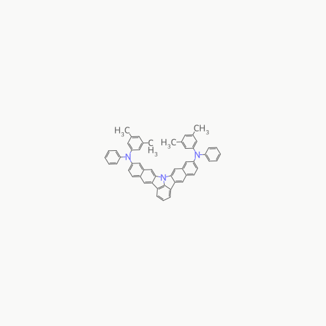 Cc1cc(C)cc(N(c2ccccc2)c2ccc3cc4c5cccc6c7cc8ccc(N(c9ccccc9)c9cc(C)cc(C)c9)cc8cc7n(c4cc3c2)c56)c1